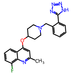 Cc1cc(OC2CCN(Cc3ccccc3-c3nnn[nH]3)CC2)c2cccc(F)c2n1